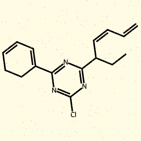 C=C/C=C\C(CC)c1nc(Cl)nc(C2=CC=CCC2)n1